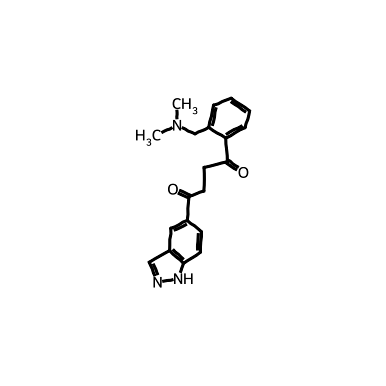 CN(C)Cc1ccccc1C(=O)CCC(=O)c1ccc2[nH]ncc2c1